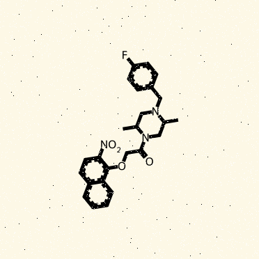 CC1CN(C(=O)COc2c([N+](=O)[O-])ccc3ccccc23)C(C)CN1Cc1ccc(F)cc1